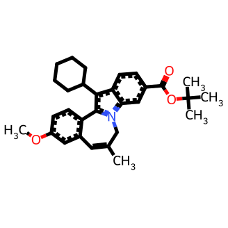 COc1ccc2c(c1)C=C(C)Cn1c-2c(C2CCCCC2)c2ccc(C(=O)OC(C)(C)C)cc21